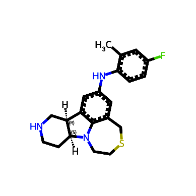 Cc1cc(F)ccc1Nc1cc2c3c(c1)[C@@H]1CNCC[C@@H]1N3CCSC2